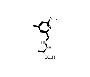 Cc1cc(N)nc(CNN[C@@H](C)C(=O)O)c1